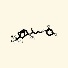 CN(C(=O)CCCOc1ccc(Cl)cc1Cl)C1C2CC3CC1CC(C(C)(C)O)(C3)C2